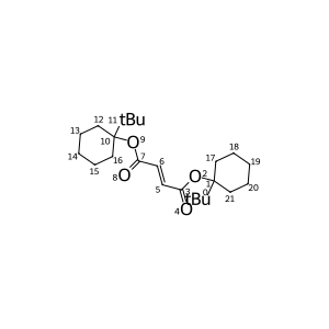 CC(C)(C)C1(OC(=O)C=CC(=O)OC2(C(C)(C)C)CCCCC2)CCCCC1